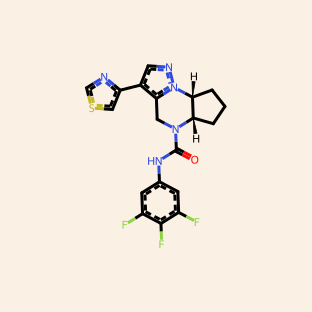 O=C(Nc1cc(F)c(F)c(F)c1)N1Cc2c(-c3cscn3)cnn2[C@@H]2CCC[C@@H]21